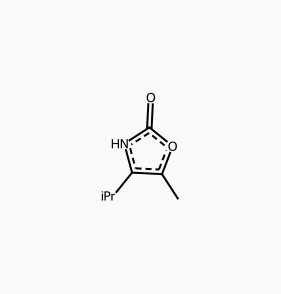 Cc1oc(=O)[nH]c1C(C)C